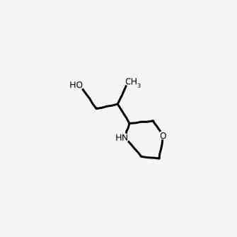 CC(CO)C1COCCN1